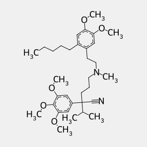 CCCCCc1cc(OC)c(OC)cc1CCN(C)CCCC(C#N)(c1cc(OC)c(OC)c(OC)c1)C(C)C